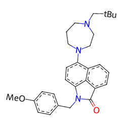 COc1ccc(CN2C(=O)c3cccc4c(N5CCCN(CC(C)(C)C)CC5)ccc2c34)cc1